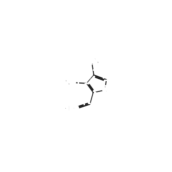 C=Cc1scc(C#N)c1C#N